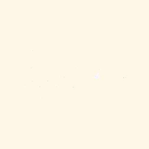 CCCCC(C)c1ccccc1NS(=O)(=O)C1CCC2(C=C1C(=O)OCC)OC(C(O)CO)C(C(O)CO)O2